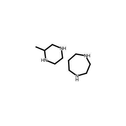 C1CNCCNC1.CC1CNCCN1